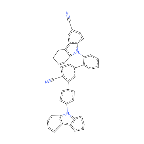 N#Cc1ccc2c(c1)c1c(n2-c2ccccc2-c2ccc(C#N)c(-c3ccc(-n4c5ccccc5c5ccccc54)cc3)c2)C=CCC1